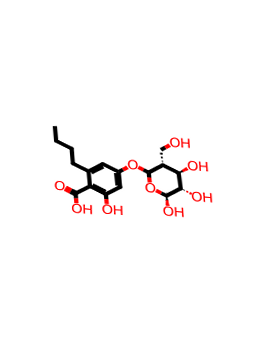 CCCCc1cc(OC2O[C@H](O)[C@@H](O)[C@H](O)[C@H]2CO)cc(O)c1C(=O)O